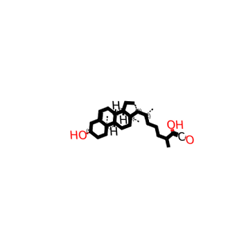 CC(CCC[C@@H](C)[C@H]1CC[C@H]2[C@@H]3CC=C4C[C@@H](O)CC[C@]4(C)[C@H]3CC[C@]12C)C(O)=C=O